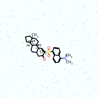 CN(C)c1cccc2c(S(=O)(=O)C3=C[C@@]4(C)C(CC[C@H]5[C@@H]6CCC[C@@]6(C)CC[C@@H]54)CC3=O)cccc12